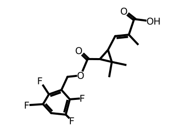 C/C(=C\C1C(C(=O)OCc2c(F)c(F)cc(F)c2F)C1(C)C)C(=O)O